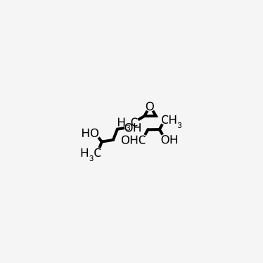 CC(O)CC=O.CC(O)CCO.CC1CO1